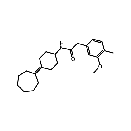 COc1cc(CC(=O)NC2CCC(=C3CCCCCC3)CC2)ccc1C